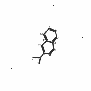 CC(C)c1ccc2c[c]ccc2c1